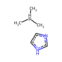 C[SiH](C)C.c1c[nH]cn1